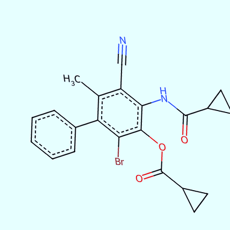 Cc1c(C#N)c(NC(=O)C2CC2)c(OC(=O)C2CC2)c(Br)c1-c1ccccc1